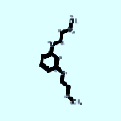 COCCOc1cccc(OCCOC)c1